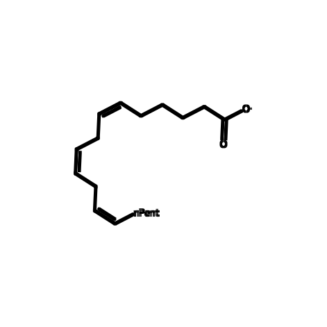 CCCCC/C=C\C/C=C\C/C=C\CCCCC([O])=O